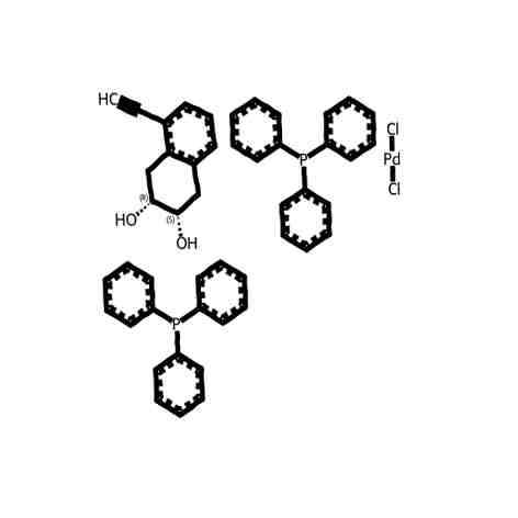 C#Cc1cccc2c1C[C@@H](O)[C@@H](O)C2.[Cl][Pd][Cl].c1ccc(P(c2ccccc2)c2ccccc2)cc1.c1ccc(P(c2ccccc2)c2ccccc2)cc1